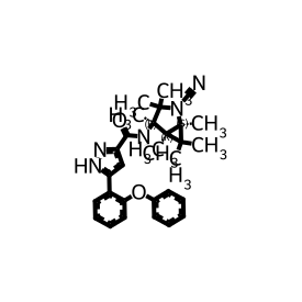 CN(C(=O)c1cc(-c2ccccc2Oc2ccccc2)[nH]n1)[C@@]1(C)C(C)(C)N(C#N)[C@@]2(C)C(C)(C)[C@@]12C